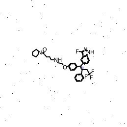 O=C(CCCNCCOc1ccc(/C(=C(/CC(F)(F)F)c2ccccc2)c2ccc3[nH]nc(F)c3c2)cc1)N1CCCC1